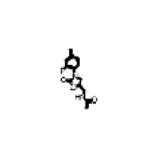 CC(=O)NCC1CN(c2ccc(C)cc2F)C(=O)O1